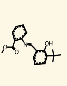 COC(=O)c1ccccc1N=Cc1cccc(C(C)(C)C)c1O